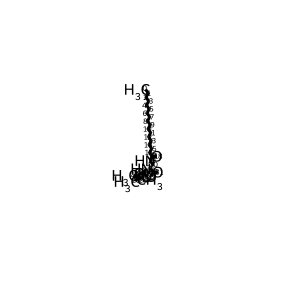 CCCCCCCCCCCCCCCCCC(=O)NC[C@H](NC(=O)OC(C)(C)C)C(=O)O